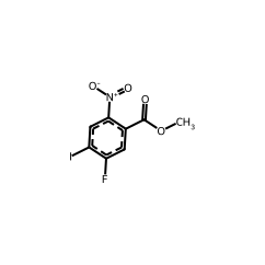 COC(=O)c1cc(F)c(I)cc1[N+](=O)[O-]